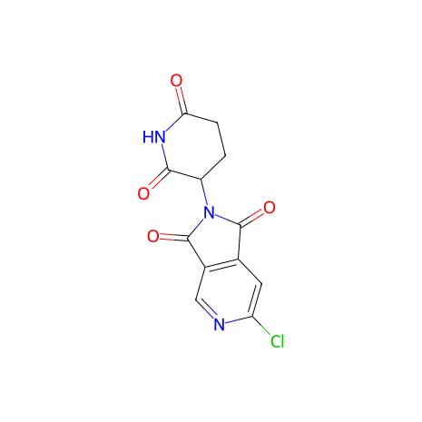 O=C1CCC(N2C(=O)c3cnc(Cl)cc3C2=O)C(=O)N1